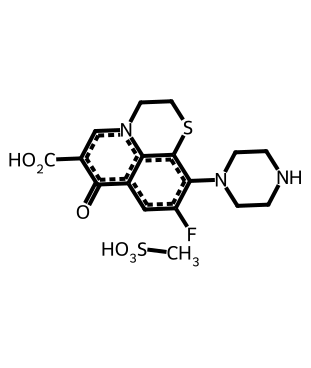 CS(=O)(=O)O.O=C(O)c1cn2c3c(c(N4CCNCC4)c(F)cc3c1=O)SCC2